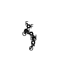 COCCN1CCN(c2nc(-c3cccc(Cn4nc(-c5cc(F)cc(F)c5)ccc4=O)c3)ns2)CC1